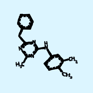 Cc1nc(Cc2ccccc2)nc(Nc2ccc(C)c(C)c2)n1